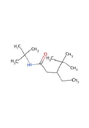 CCC(CC(=O)NC(C)(C)C)C(C)(C)C